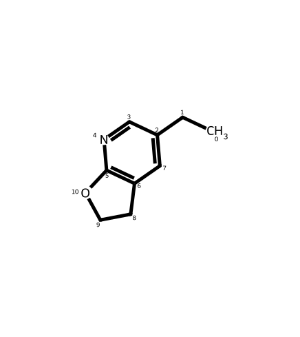 CCc1cnc2c(c1)CCO2